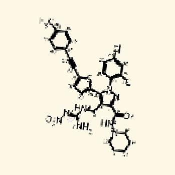 N/C(=N\[N+](=O)[O-])NCc1c(C(=O)NN2CCCCC2)nn(-c2ccc(Cl)cc2Cl)c1-c1ccc(C#Cc2ccc(C(F)(F)F)cc2)s1